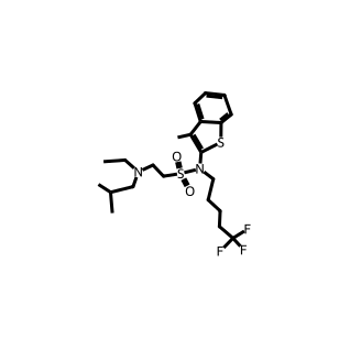 CCN(CCS(=O)(=O)N(CCCCC(F)(F)F)c1sc2ccccc2c1C)CC(C)C